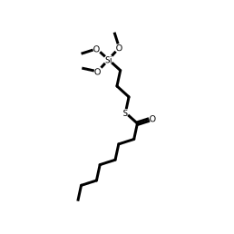 CCCCCCCC(=O)SCCC[Si](OC)(OC)OC